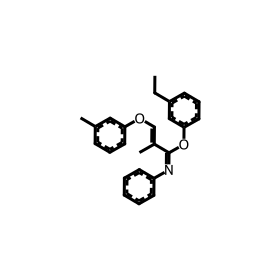 CCc1cccc(O/C(=N/c2ccccc2)C(C)=COc2cccc(C)c2)c1